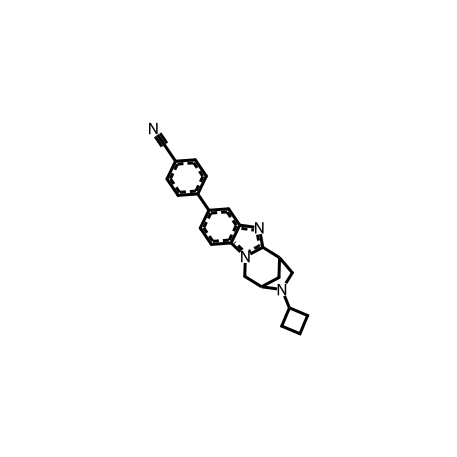 N#Cc1ccc(-c2ccc3c(c2)nc2n3CC3CC2CN3C2CCC2)cc1